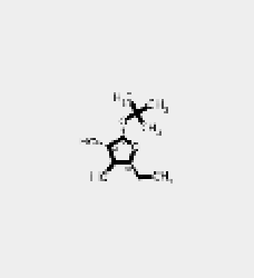 CC[C@@H]1O[C@@H](OC(C)(C)C)[C@@H](O)C1O